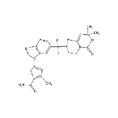 Cc1cc(-n2cnc3ccc(C(F)(F)C4CCN5C(=O)OC(C)(C)C=C5C4)cc32)sc1C(N)=O